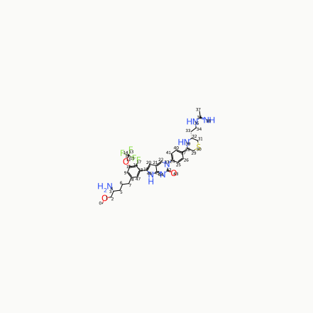 COC[C@H](N)CCCc1cc(OC(F)(F)F)c(F)c(-c2cc3cn(-c4ccc([C@@H]5CSC[C@@H](CCNC(C)=N)N5)cc4)c(=O)nc3[nH]2)c1